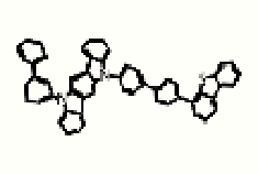 c1ccc(-c2cccc(-n3c4ccccc4c4cc5c(cc43)c3ccccc3n5-c3ccc(-c4ccc(-c5cccc6c5sc5ccccc56)cc4)cc3)c2)cc1